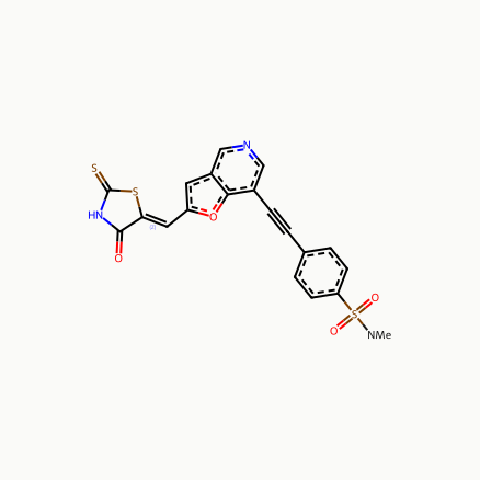 CNS(=O)(=O)c1ccc(C#Cc2cncc3cc(/C=C4\SC(=S)NC4=O)oc23)cc1